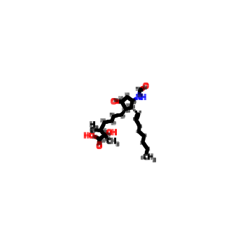 CCCCCCC=C[C@H]1[C@H](NC=O)CC(=O)[C@@H]1CCCCC(C)C(C)(O)C(=O)O